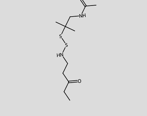 CCC(=O)CCNSSC(C)(C)CNC(C)=O